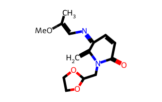 C=C1/C(=N\C=C(/C)OC)C=CC(=O)N1CC1OCCO1